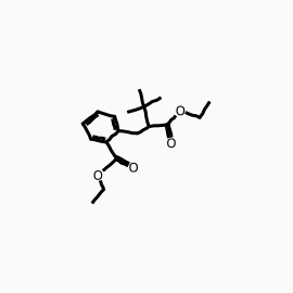 CCOC(=O)c1ccccc1CC(C(=O)OCC)C(C)(C)C